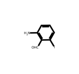 Nc1cccc(I)c1C=O